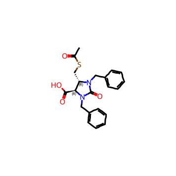 CC(=O)SC[C@H]1[C@H](C(=O)O)N(Cc2ccccc2)C(=O)N1Cc1ccccc1